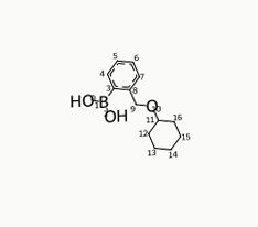 OB(O)c1ccccc1COC1CCCCC1